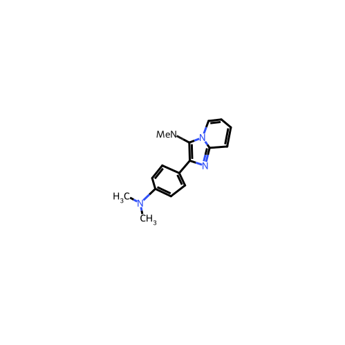 CNc1c(-c2ccc(N(C)C)cc2)nc2ccccn12